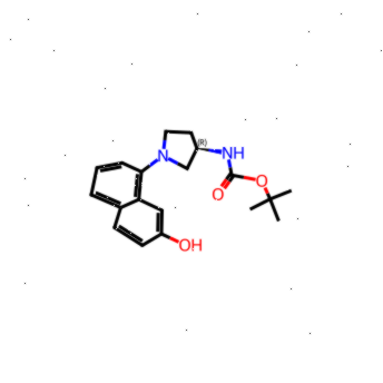 CC(C)(C)OC(=O)N[C@@H]1CCN(c2cccc3ccc(O)cc23)C1